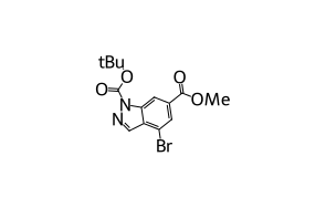 COC(=O)c1cc(Br)c2cnn(C(=O)OC(C)(C)C)c2c1